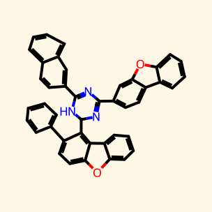 c1ccc(-c2ccc3oc4ccccc4c3c2C2N=C(c3ccc4c(c3)oc3ccccc34)N=C(c3ccc4ccccc4c3)N2)cc1